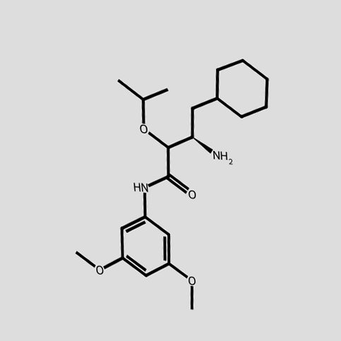 COc1cc(NC(=O)C(OC(C)C)[C@H](N)CC2CCCCC2)cc(OC)c1